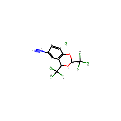 N#[N+]c1ccc2c(c1)C(C(Cl)(Cl)Cl)OC(C(Cl)(Cl)Cl)O2.[Cl-]